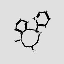 CN1CC(Cl)C/N=C(/c2ccccn2)c2ccccc21